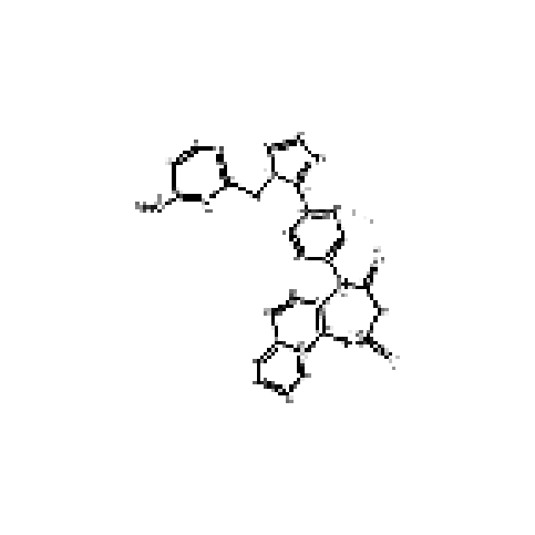 COc1cccc(Cn2ccnc2-c2ccc(N3C(=O)CC(=O)Nc4c3ccc3ccccc43)cc2)n1.Cl